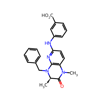 C[C@@H]1C(=O)N(C)c2ccc(Nc3cccc(C(=O)O)c3)nc2N1Cc1ccccc1